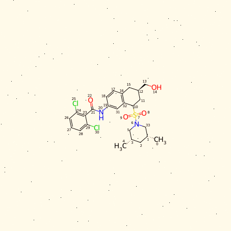 C[C@@H]1C[C@H](C)CN(S(=O)(=O)C2C[C@H](CO)Cc3ccc(NC(=O)c4c(Cl)cccc4Cl)cc32)C1